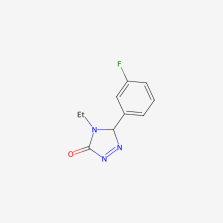 CCN1C(=O)N=NC1c1cccc(F)c1